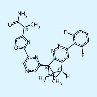 C[C@H](C(N)=O)c1coc(-c2cncc([C@@]34CC[C@@H](c5cc(-c6c(F)cccc6F)nnc53)C4(C)C)n2)n1